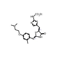 CCOC(=O)Nc1ncc(/C=C2\S/C(=N\c3ccc(OCCN(C)C)cc3C)NC2=O)s1